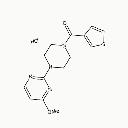 COc1ccnc(N2CCN(C(=O)c3ccsc3)CC2)n1.Cl